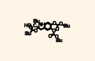 CCC(C)N[C@@](Cc1ccc(OC(=O)OC(C)CC)c(OC(=O)OC(C)CC)c1)(OC(=O)C(C)CC)C(=O)O